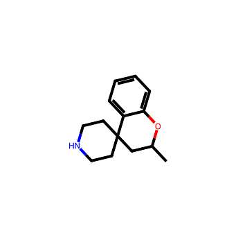 CC1CC2(CCNCC2)c2ccccc2O1